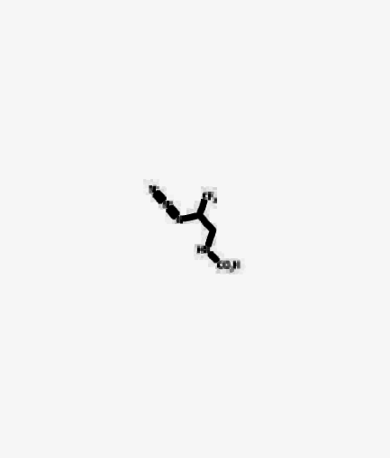 [N-]=[N+]=NC(CNC(=O)O)C(F)(F)F